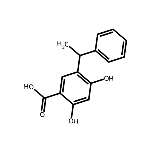 CC(c1ccccc1)c1cc(C(=O)O)c(O)cc1O